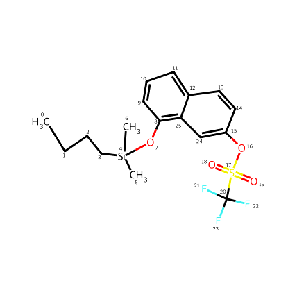 CCCC[Si](C)(C)Oc1cccc2ccc(OS(=O)(=O)C(F)(F)F)cc12